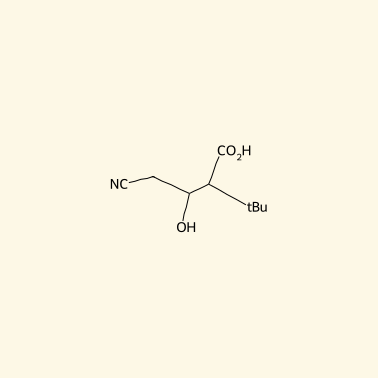 CC(C)(C)C(C(=O)O)C(O)CC#N